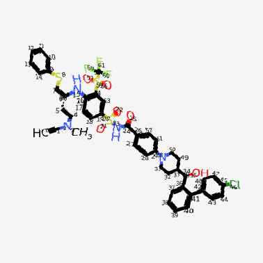 C#CN(C)CC[C@H](CSc1ccccc1)Nc1ccc(S(=O)(=O)NC(=O)c2ccc(N3CCC([C@@H](O)c4ccccc4-c4ccc(Cl)cc4)CC3)cc2)cc1S(=O)(=O)C(F)(F)F